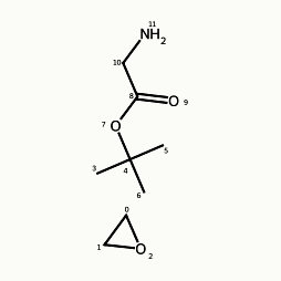 C1CO1.CC(C)(C)OC(=O)CN